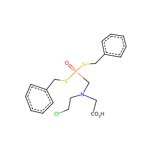 O=C(O)CN(CCCl)CP(=O)(SCc1ccccc1)SCc1ccccc1